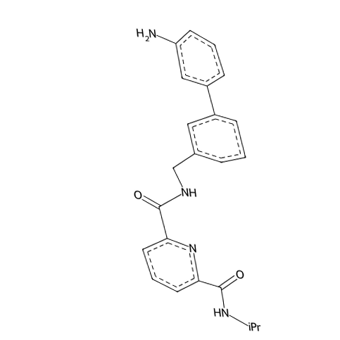 CC(C)NC(=O)c1cccc(C(=O)NCc2cccc(-c3cccc(N)c3)c2)n1